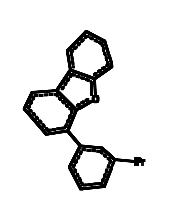 CC(C)c1cccc(-c2cccc3c2oc2ccccc23)c1